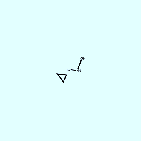 C1CC1.ONO